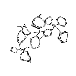 Cc1ccc(C2(c3ccc(C)cc3)c3cc([Si](c4ccccc4)(c4ccccc4)c4ccccc4)ccc3-c3ccc([Si](c4ccccc4)(c4ccccc4)c4ccccc4)cc32)cc1